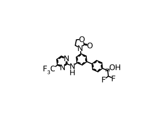 O=C1OCCN1c1cc(Nc2nccc(C(F)(F)F)n2)cc(-c2ccc([C@@H](O)C(F)F)cc2)c1